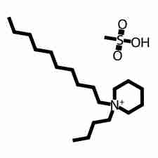 CCCCCCCCCC[N+]1(CCCC)CCCCC1.CS(=O)(=O)O